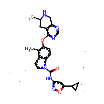 Cc1c(Oc2ncnc3c2CC(C)NC3)ccc2c1ccn2C(=O)Nc1cc(C2CC2)on1